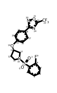 O=S(=O)(c1ccccc1F)N1CC[C@@H](Oc2ccc(-c3noc(C(F)(F)F)n3)cc2)C1